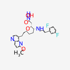 COc1ccc2nccc(CC[C@@H]3CC[C@@H](NCC=Cc4cc(F)ccc4F)[C@@H](CC(=O)NO)O3)c2n1